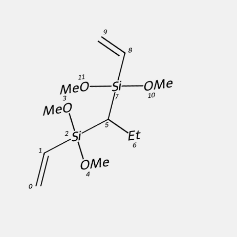 C=C[Si](OC)(OC)C(CC)[Si](C=C)(OC)OC